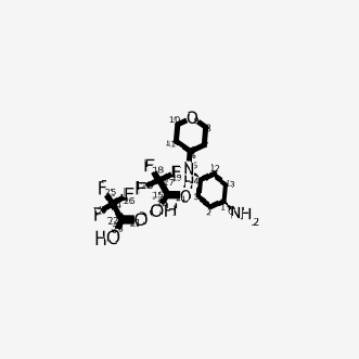 N[C@H]1CC[C@H](NC2CCOCC2)CC1.O=C(O)C(F)(F)F.O=C(O)C(F)(F)F